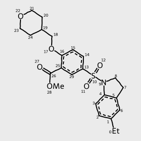 CCc1ccc2c(c1)CCN2S(=O)(=O)c1ccc(OCC2CCOCC2)c(C(=O)OC)c1